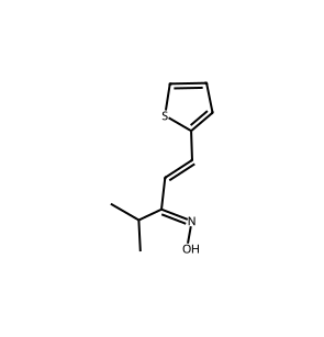 CC(C)C(/C=C/c1cccs1)=NO